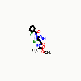 COC(=O)C(C)NC(=O)c1[nH]nc(NC(=O)c2ccccc2Cl)c1Br